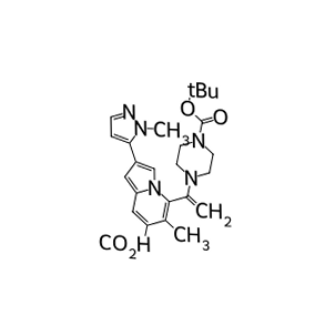 C=C(c1c(C)c(C(=O)O)cc2cc(-c3ccnn3C)cn12)N1CCN(C(=O)OC(C)(C)C)CC1